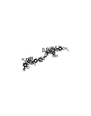 Cc1ccc([C@H](C)NC(=O)[C@@H]2C[C@@H](O)CN2C(=O)[C@@H](NC(=O)COCCOc2ccc(-c3ccc(C(=O)N[C@H]4C(C)(C)[C@H](Oc5ccc(C#N)c(Cl)c5)C4(C)C)cc3)cn2)C(C)(C)C)cc1